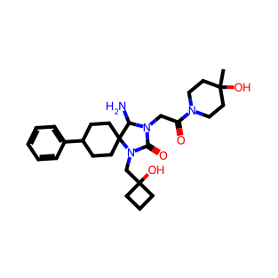 CC1(O)CCN(C(=O)CN2C(=O)N(CC3(O)CCC3)C3(CCC(c4ccccc4)CC3)C2N)CC1